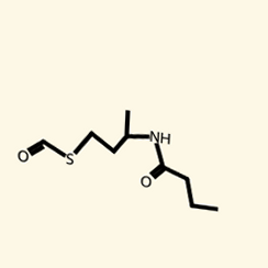 CCCC(=O)NC(C)CCSC=O